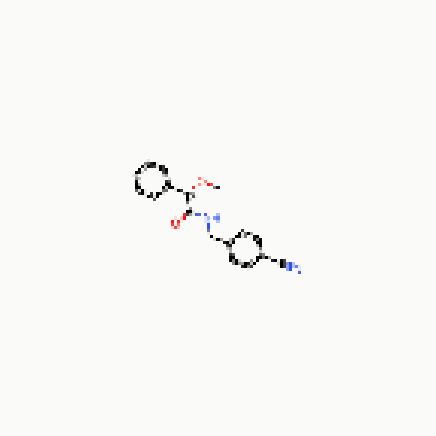 CO[C@H](C(=O)NCc1ccc(C#N)cc1)c1ccccc1